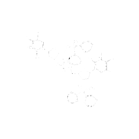 Cc1cn([C@H]2C[C@H](O[Si](c3ccccc3)(c3ccccc3)C(C)(C)C)[C@@H](COP(=O)(O)O[C@H]3C[C@H](n4cc(C)c(=O)[nH]c4=O)O[C@@H]3CO[Si](c3ccccc3)(c3ccccc3)C(C)(C)C)O2)c(=O)[nH]c1=O